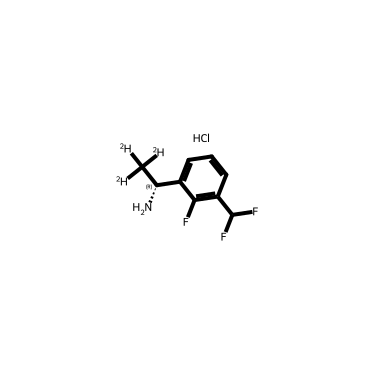 Cl.[2H]C([2H])([2H])[C@@H](N)c1cccc(C(F)F)c1F